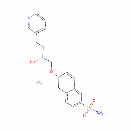 Cl.NS(=O)(=O)c1ccc2cc(OC[C@H](O)CCc3cccnc3)ccc2c1